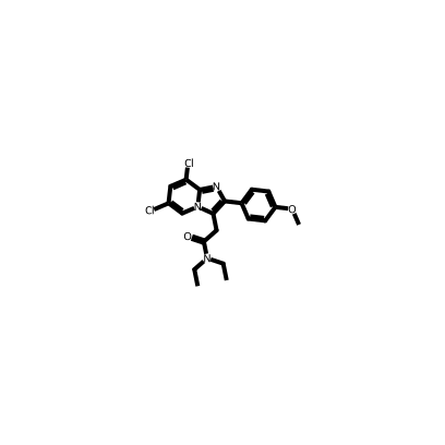 CCN(CC)C(=O)Cc1c(-c2ccc(OC)cc2)nc2c(Cl)cc(Cl)cn12